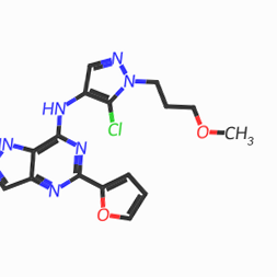 COCCCn1ncc(Nc2nc(-c3ccco3)nc3cn[nH]c23)c1Cl